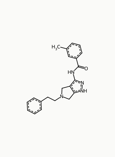 Cc1cccc(C(=O)Nc2n[nH]c3c2CN(CCc2ccccc2)C3)c1